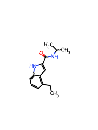 CCc1cccc2[nH]c(C(=O)NC(C)C)cc12